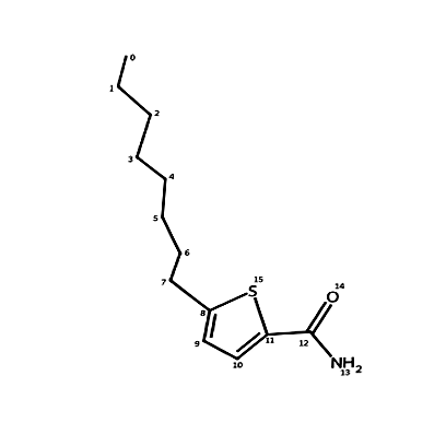 CCCCCCCCc1ccc(C(N)=O)s1